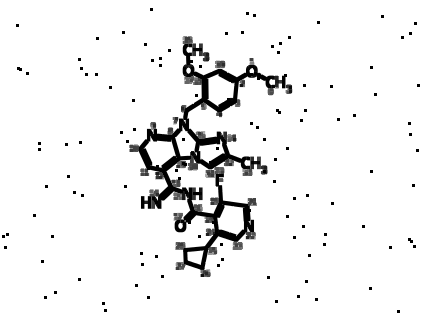 COc1ccc(Cn2c3nccc(C(=N)NC(=O)c4c(F)cncc4C4CCC4)c3n3cc(C)nc23)c(OC)c1